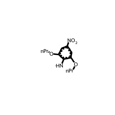 CCCOc1cc([N+](=O)[O-])cc(OCCC)c1[NH]